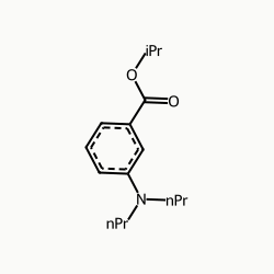 CCCN(CCC)c1cccc(C(=O)OC(C)C)c1